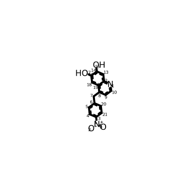 O=[N+]([O-])c1ccc(Cc2ccnc3cc(O)c(O)cc23)cc1